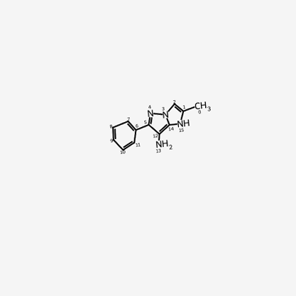 Cc1cn2nc(-c3ccccc3)c(N)c2[nH]1